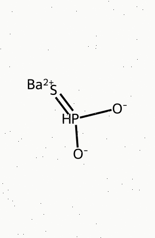 [Ba+2].[O-][PH]([O-])=S